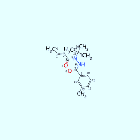 CC=CC(=O)N(NC(=O)c1cccc(C)c1)C(C)(C)C